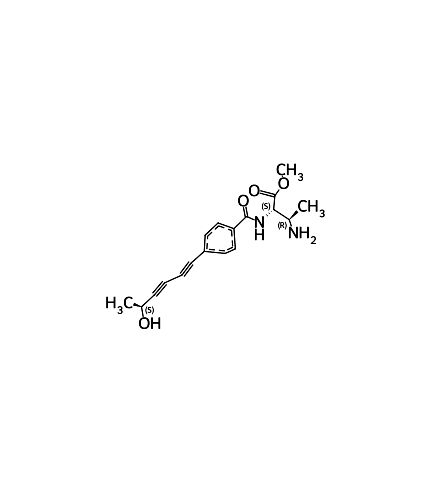 COC(=O)[C@@H](NC(=O)c1ccc(C#CC#C[C@H](C)O)cc1)[C@@H](C)N